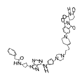 O=C1CC[C@H](N2C(=O)c3ccc(N4CCC(CCCN5CCN(c6ccc(Nc7ncnc8c7ncn8C7CC(NC(=O)Cc8ccccc8)C7)cc6)CC5)CC4)cc3C2=O)C(=O)N1